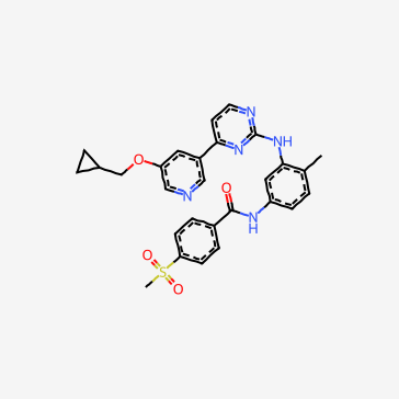 Cc1ccc(NC(=O)c2ccc(S(C)(=O)=O)cc2)cc1Nc1nccc(-c2cncc(OCC3CC3)c2)n1